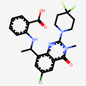 CC(Nc1ccccc1C(=O)O)c1cc(Cl)cc2c(=O)n(C)c(N3CCC(F)(F)CC3)nc12